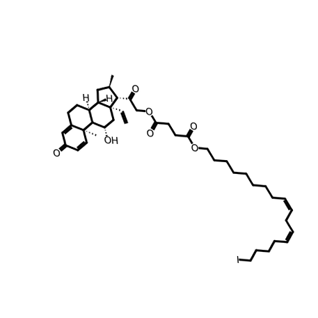 C=C[C@]12C[C@H](O)C3[C@@H](CCC4=CC(=O)C=C[C@@]43C)[C@@H]1C[C@@H](C)[C@@H]2C(=O)COC(=O)CCC(=O)OCCCCCCCC/C=C\C/C=C\CCCCI